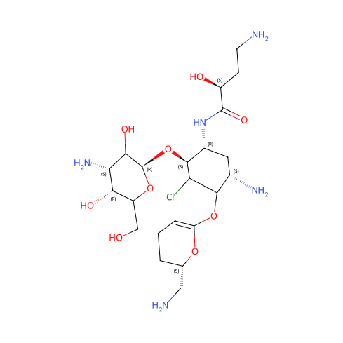 NCC[C@H](O)C(=O)N[C@@H]1C[C@H](N)C(OC2=CCC[C@@H](CN)O2)C(Cl)[C@H]1O[C@H]1OC(CO)[C@H](O)[C@H](N)C1O